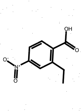 CCc1cc([N+](=O)[O-])ccc1C(=O)O